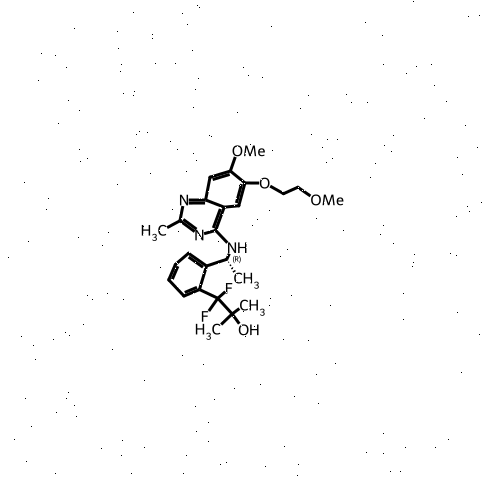 COCCOc1cc2c(N[C@H](C)c3ccccc3C(F)(F)C(C)(C)O)nc(C)nc2cc1OC